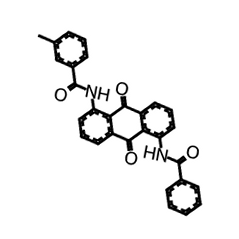 Cc1cccc(C(=O)Nc2cccc3c2C(=O)c2cccc(NC(=O)c4ccccc4)c2C3=O)c1